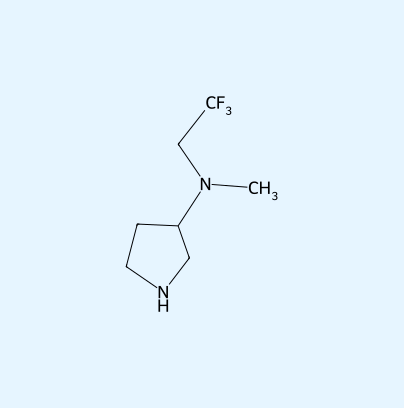 CN(CC(F)(F)F)C1CCNC1